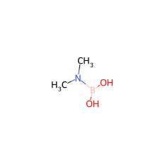 CN(C)B(O)O